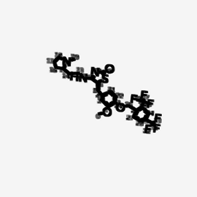 COc1cc(/C=C2\SC(=O)N=C2NCCC2CCCN2C)ccc1OCc1ccc(C(F)(F)F)cc1C(F)(F)F